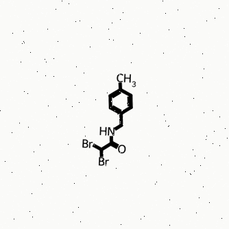 Cc1ccc(CNC(=O)C(Br)Br)cc1